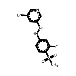 CS(=O)(=O)c1ccc(NNc2cncc(Br)c2)cc1Cl